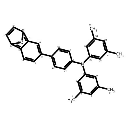 Cc1cc(C)cc(N(c2ccc(-c3ccc4c5ccc(o5)c4c3)cc2)c2cc(C)cc(C)c2)c1